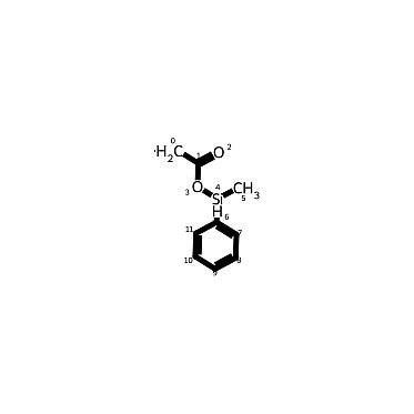 [CH2]C(=O)O[SiH](C)c1ccccc1